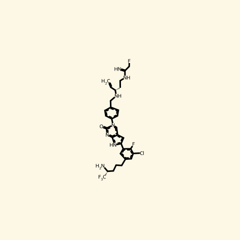 C=C[C@H](CCNC(=N)CF)NCc1ccc(-n2cc3cc(-c4cc(CCC[C@@H](N)C(F)(F)F)cc(Cl)c4F)[nH]c3nc2=O)cc1